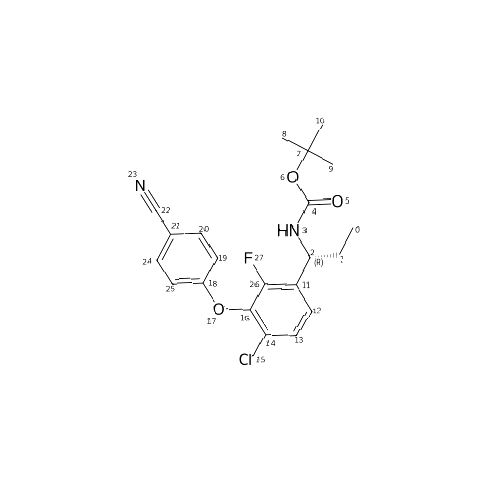 CC[C@@H](NC(=O)OC(C)(C)C)c1ccc(Cl)c(Oc2ccc(C#N)cc2)c1F